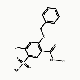 CCCCNC(=O)c1cc(S(N)(=O)=O)c(Cl)cc1SCc1ccccc1